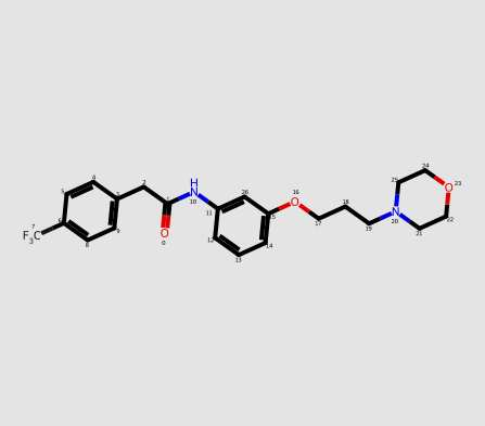 O=C(Cc1ccc(C(F)(F)F)cc1)Nc1cccc(OCCCN2CCOCC2)c1